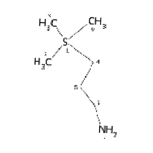 CS(C)(C)CCCN